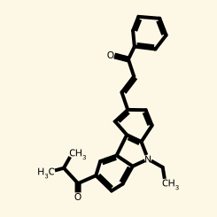 CCn1c2ccc(C=CC(=O)c3ccccc3)cc2c2cc(C(=O)C(C)C)ccc21